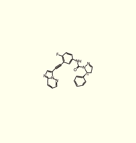 O=C(Nc1ccc(F)c(C#Cc2cnc3cccnn23)c1)N1N=CC[C@H]1c1ccccc1